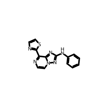 c1ccc(Nc2nc3c(-c4nccs4)nccn3n2)cc1